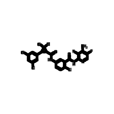 Nc1c(F)cnc(NC(=O)c2cc(NC(=O)C3C(c4cc(Cl)cc(Cl)c4)C3(Cl)Cl)ccc2Cl)c1F